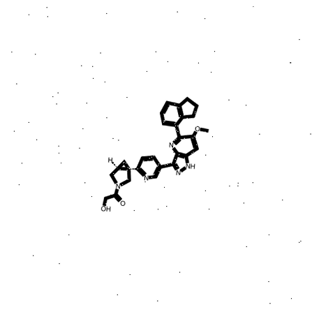 COc1cc2[nH]nc(-c3ccc([C@@]45C[C@@H]4CN(C(=O)CO)C5)nc3)c2nc1-c1cccc2c1CCC2